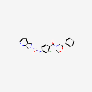 O=C(c1ccc(N=S(=O)(F)N2Cc3cccnc3C2)cc1Cl)N1CCO[C@@H](c2ccccc2)C1